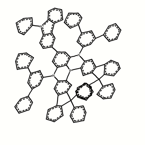 c1ccc(-c2cc(-c3ccccc3)cc(N3c4cc5c(cc4B4c6cc7c(cc6N(c6cc(-c8ccccc8)cc(-c8ccccc8)c6)c6cc(-c8ccc9c(c8)c8ccccc8n9-c8ccccc8)cc3c64)-c3ccccc3C7(c3ccccc3)c3ccccc3)C(c3ccccc3)(c3ccccc3)c3ccccc3-5)c2)cc1